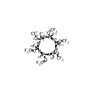 FC(F)(F)OP1(F)=NP(F)(OC(F)(F)F)=NP(F)(OC(F)(F)F)=NP(F)(OC(F)(F)F)=NP(F)(OC(F)(F)F)=NP(F)(OC(F)(F)F)=N1